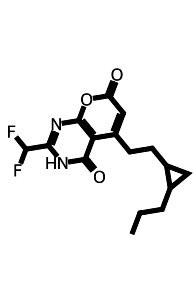 CCCC1CC1CCc1cc(=O)oc2nc(C(F)F)[nH]c(=O)c12